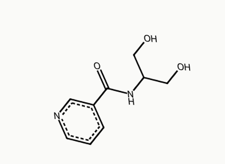 O=C(NC(CO)CO)c1cccnc1